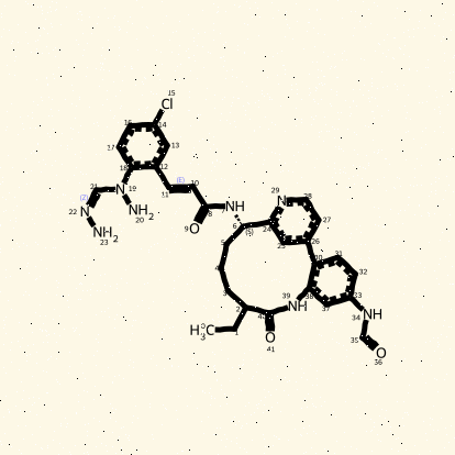 CCC1CCC[C@H](NC(=O)/C=C/c2cc(Cl)ccc2N(N)/C=N\N)c2cc(ccn2)-c2ccc(NC=O)cc2NC1=O